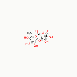 C[C@@H]1O[C@@H](O[C@@H]2[C@H](O)[C@@H](O)[C@H]([O])O[C@@H]2CO)[C@H](O)[C@H](O)[C@H]1O